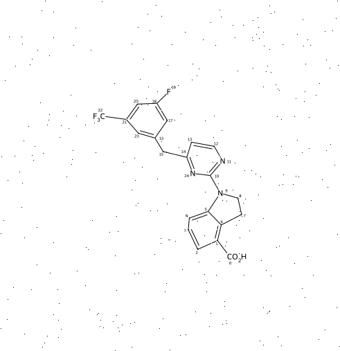 O=C(O)c1cccc2c1CCN2c1nccc(Cc2cc(F)cc(C(F)(F)F)c2)n1